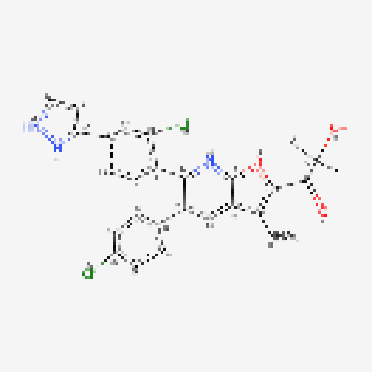 CC(=O)Nc1c(C(=O)C(C)(C)O)oc2nc(-c3ccc(-c4cc[nH]n4)cc3Cl)c(-c3ccc(Cl)cc3)cc12